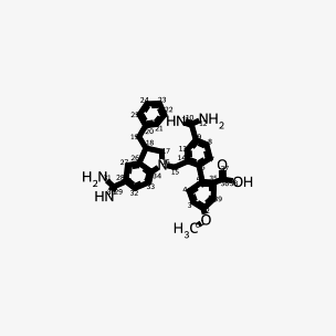 COc1ccc(-c2ccc(C(=N)N)cc2CN2CC(Cc3ccccc3)c3cc(C(=N)N)ccc32)c(C(=O)O)c1